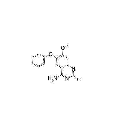 COc1cc2nc(Cl)nc(N)c2cc1Oc1ccccc1